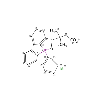 CC(C)(CC[P+](c1ccccc1)(c1ccccc1)c1ccccc1)CC(=O)O.[Br-]